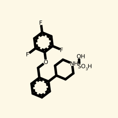 Fc1cc(F)c(OCc2ccccc2C2CCNCC2)c(F)c1.O=S(=O)(O)O